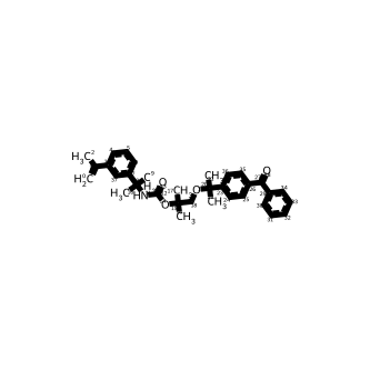 C=C(C)c1cccc(C(C)(C)NC(=O)OC(C)(C)COC(C)(C)c2ccc(C(=O)c3ccccc3)cc2)c1